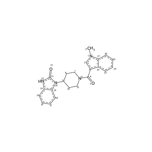 Cn1cc(C(=O)N2CCC(n3c(=O)[nH]c4ccccc43)CC2)c2ccccc21